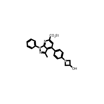 CCOC(=O)c1cc(-c2ccc(N3CC(O)C3)cc2)c2c(C)nn(-c3ccccc3)c2n1